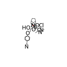 Cc1nn(C)c(Cl)c1S(=O)(=O)N(C)C1C2CCC1CN(CC(O)COc1ccc(C#N)cc1)C2